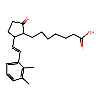 Cc1cccc(/C=C/C2CCC(=O)C2CCCCCCC(=O)O)c1C